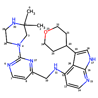 CC1(C)CN(c2nccc(CNc3ccnc4[nH]cc(C5CCOCC5)c34)n2)CCN1